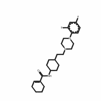 O=C(NC1CCC(CCN2CCN(c3ccc(F)cc3F)CC2)CC1)C1=CCCCC1